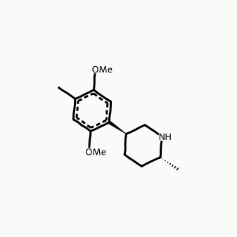 COc1cc([C@@H]2CC[C@@H](C)NC2)c(OC)cc1C